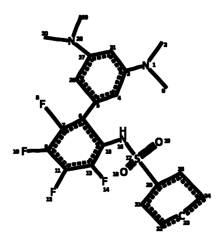 CN(C)c1cc(-c2c(F)c(F)c(F)c(F)c2NS(=O)(=O)c2ccccc2)cc(N(C)C)c1